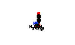 CC(C)(C)OC(=O)NCc1ccc(C2CCC(=O)CC2)cc1